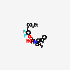 CCOC(=O)CCc1ccc(OC[C@@H](O)CNC(C)(C)CC2Cc3ccccc3C2)c(F)c1F